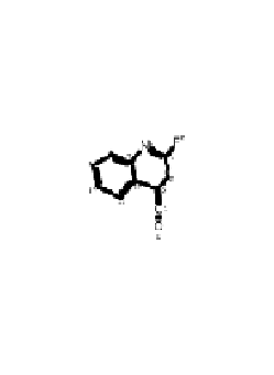 O=C=C1CC(F)=Nc2ccccc21